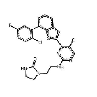 O=C1NCCN1CCNc1ncc(Cl)c(-c2cc3cccc(-c4cc(F)ncc4Cl)c3s2)n1